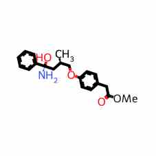 COC(=O)Cc1ccc(OC[C@H](C)C[C@](N)(O)c2ccccc2)cc1